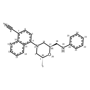 C[C@@H]1CN(c2ccc(C#N)c3ncccc23)C[C@@H](CNc2ccccc2)O1